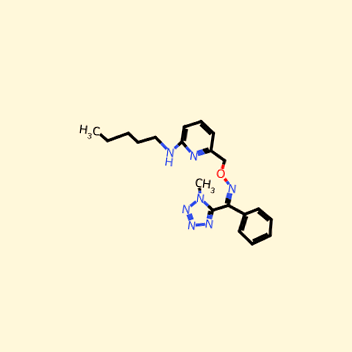 CCCCCNc1cccc(CO/N=C(/c2ccccc2)c2nnnn2C)n1